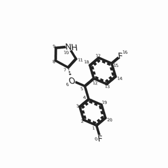 Fc1ccc(C(O[C@@H]2CCNC2)c2ccc(F)cc2)cc1